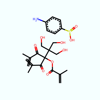 C=C(C)C(=O)OC(C(=O)C(=C)C)(C(=O)C(=C)C)C(CO)(CO)CO.Nc1ccc(S(=O)O)cc1